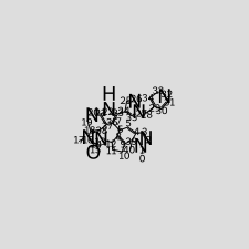 CN1N=CC2=CC3(C)C4=C(CCC4n4c(=O)n(C)c5cnc6[nH]c(-c7cnn(Cc8ccncc8)c7)c3c6c54)C21C